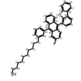 Cc1ccc2c(-c3cccc4c3sc3ccccc34)c3ccccc3c(-c3cccc(CCCCCCCCCCS)c3)c2c1